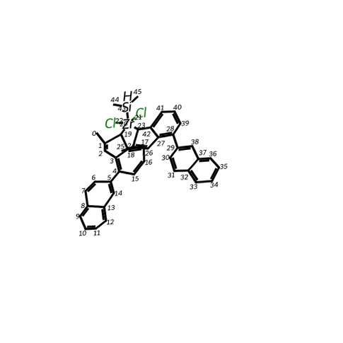 CC1=Cc2c(-c3ccc4ccccc4c3)cccc2[CH]1[Zr]([Cl])([Cl])([CH]1C(C)=Cc2c(-c3ccc4ccccc4c3)cccc21)[SiH](C)C